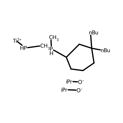 CC(C)[O-].CC(C)[O-].CCCCC1(CCCC)CCCC(PC)C1.C[PH][Ti+2]